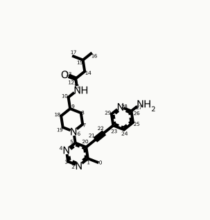 Cc1ncnc(N2CCC(CNC(=O)CC(C)C)CC2)c1C#Cc1ccc(N)nc1